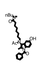 CCCCN(C)C(=O)CCCCCCCN(C(C)=O)c1c(C)n(C(=O)c2ccccc2)c2ccc(O)cc12